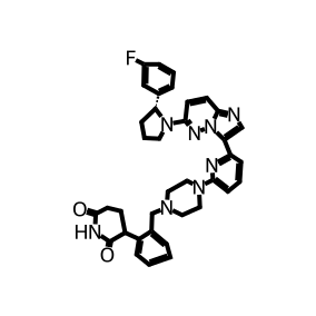 O=C1CCC(c2ccccc2CN2CCN(c3cccc(-c4cnc5ccc(N6CCC[C@@H]6c6cccc(F)c6)nn45)n3)CC2)C(=O)N1